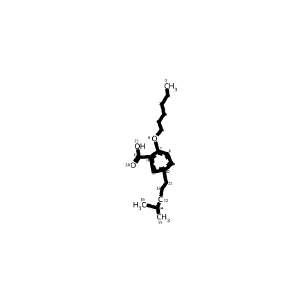 CCCCCCOc1ccc(CCCC(C)C)cc1C(=O)O